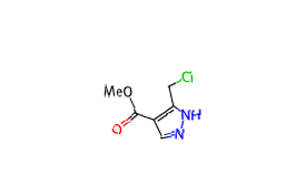 COC(=O)c1cn[nH]c1CCl